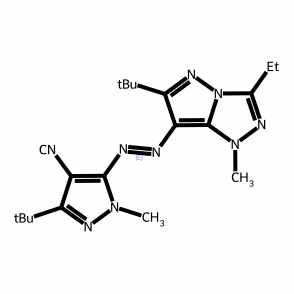 [C-]#[N+]c1c(C(C)(C)C)nn(C)c1/N=N/c1c(C(C)(C)C)nn2c(CC)nn(C)c12